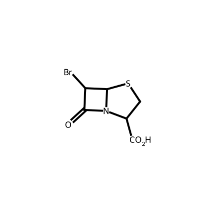 O=C(O)C1CSC2C(Br)C(=O)N12